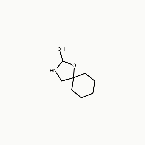 OC1NCC2(CCCCC2)O1